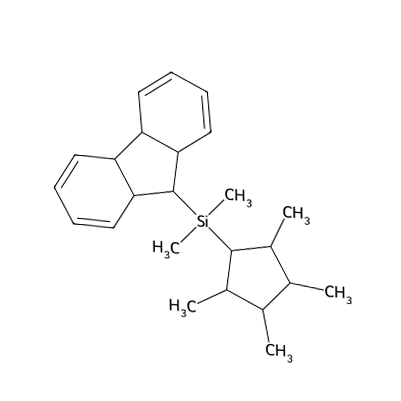 CC1C(C)C(C)C([Si](C)(C)C2C3C=CC=CC3C3C=CC=CC32)C1C